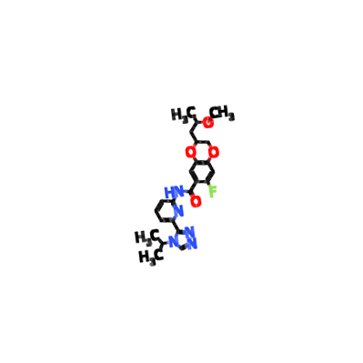 COC(C)CC1COc2cc(F)c(C(=O)Nc3cccc(-c4nncn4C(C)C)n3)cc2O1